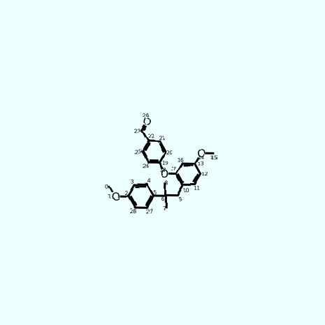 COc1ccc(C(C)(C)Cc2ccc(OC)cc2Oc2ccc(C=O)cc2)cc1